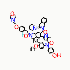 Cc1c(C(=O)N(c2ccc(O)cc2)c2ccc(OC(C)C)c(C#N)c2)cc(-c2cc3c(cc2C(=O)N2Cc4ccccc4C[C@H]2CN2CCCCC2)CN(C(=O)Cc2ccc(OCCN4CCOCC4)cc2F)CC3)n1C